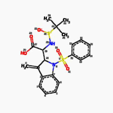 C=C1c2ccccc2N(S(=O)(=O)c2ccccc2)C1C(N[S+]([O-])C(C)(C)C)C(=O)O